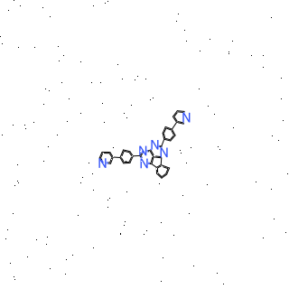 c1cncc(-c2ccc(-c3nc4c5c(nc(-c6ccc(-c7cccnc7)cc6)nc5n3)-c3ccccc3-4)cc2)c1